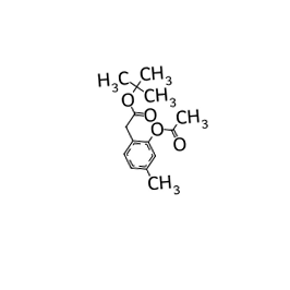 CC(=O)Oc1cc(C)ccc1CC(=O)OC(C)(C)C